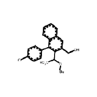 CC(C)(C)OC(C(=O)O)c1c(CO)cc2ccccc2c1-c1ccc(Cl)cc1